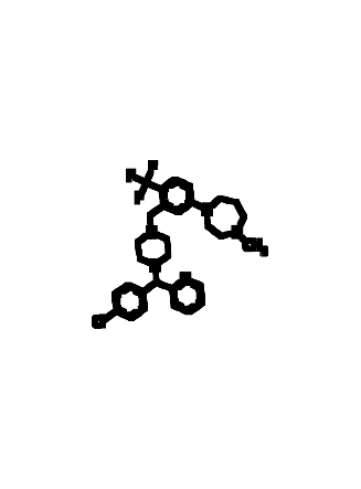 CN1CCCN(c2ccc(C(F)(F)F)c(CN3CCN(C(c4ccc(Cl)cc4)c4ccccn4)CC3)c2)CC1